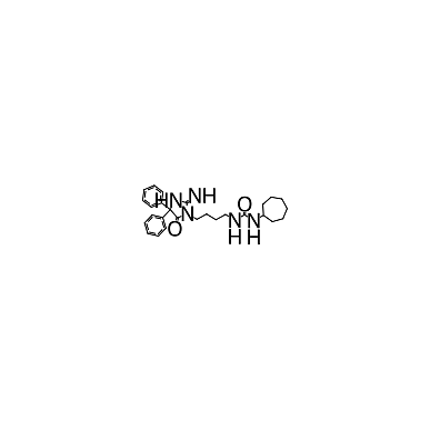 N=C1NC(c2ccccc2)(c2ccccc2)C(=O)N1CCCCNC(=O)NC1CCCCCC1